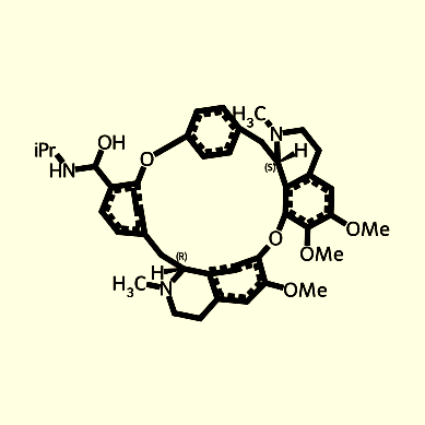 COc1cc2c3cc1Oc1c(OC)c(OC)cc4c1[C@H](Cc1ccc(cc1)Oc1cc(ccc1C(O)NC(C)C)C[C@H]3N(C)CC2)N(C)CC4